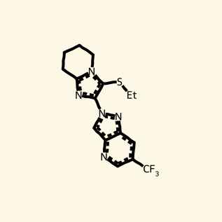 CCSc1c(-n2cc3ncc(C(F)(F)F)cc3n2)nc2n1CCCC2